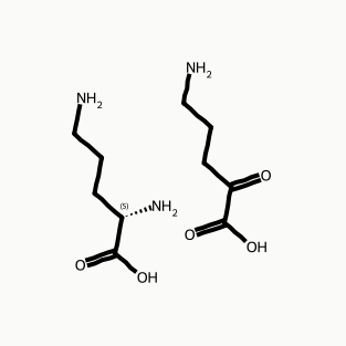 NCCCC(=O)C(=O)O.NCCC[C@H](N)C(=O)O